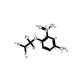 Cc1ccc(OC(F)(F)C(F)F)c([N+](=O)[O-])c1